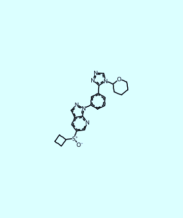 [O-][S+](c1cnc2c(cnn2-c2cccc(-c3nncn3C3CCCCO3)c2)c1)C1CCC1